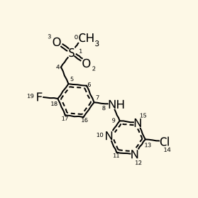 CS(=O)(=O)Cc1cc(Nc2ncnc(Cl)n2)ccc1F